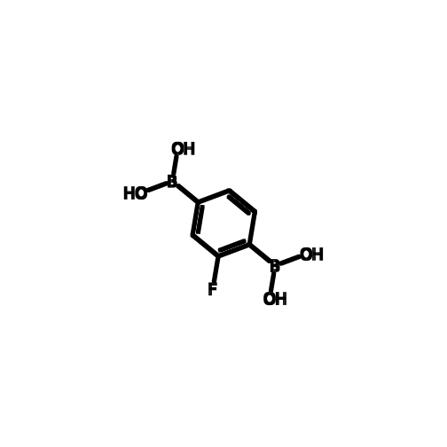 OB(O)c1ccc(B(O)O)c(F)c1